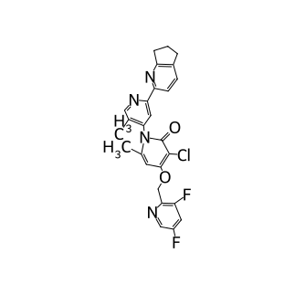 Cc1cnc(-c2ccc3c(n2)CCC3)cc1-n1c(C)cc(OCc2ncc(F)cc2F)c(Cl)c1=O